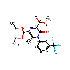 CCOC(OCC)c1nc(C(=O)OC)c(=O)n(-c2cccc(C(F)(F)F)c2)c1C